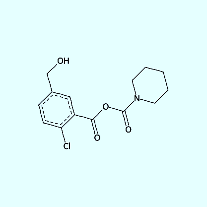 O=C(OC(=O)N1CCCCC1)c1cc(CO)ccc1Cl